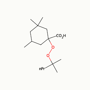 CCCC(C)(C)OOC1(C(=O)O)CC(C)CC(C)(C)C1